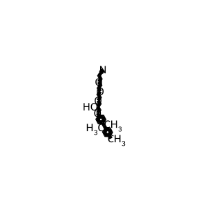 Cc1ccc(C(C)(C)c2ccc(OCC(O)COCCOCCOCCC#N)cc2)cc1